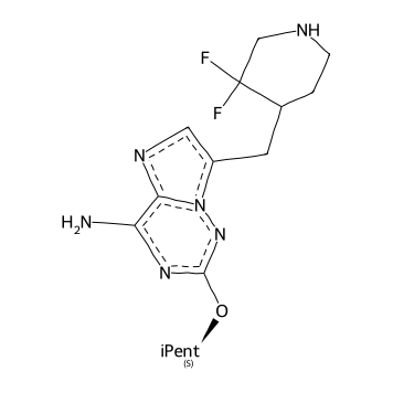 CCC[C@H](C)Oc1nc(N)c2ncc(CC3CCNCC3(F)F)n2n1